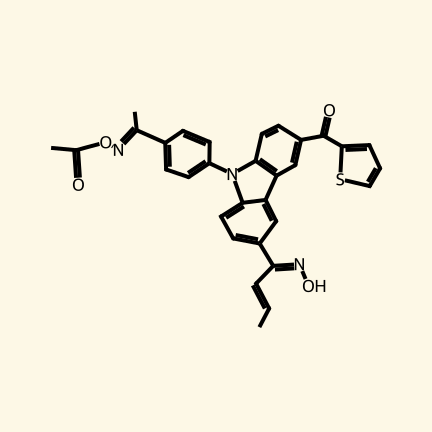 CC=CC(=NO)c1ccc2c(c1)c1cc(C(=O)c3cccs3)ccc1n2-c1ccc(C(C)=NOC(C)=O)cc1